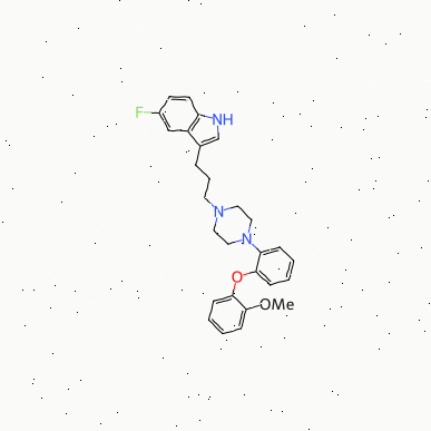 COc1ccccc1Oc1ccccc1N1CCN(CCCc2c[nH]c3ccc(F)cc23)CC1